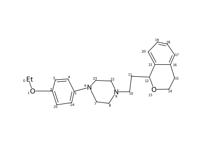 CCOc1ccc(N2CCN(CCC3OCCc4ccccc43)CC2)cc1